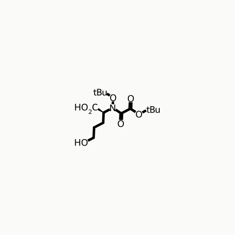 CC(C)(C)OC(=O)C(=O)N(OC(C)(C)C)[C@@H](CCCO)C(=O)O